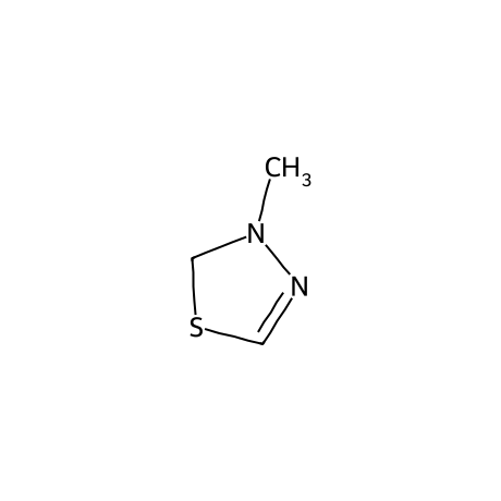 CN1CSC=N1